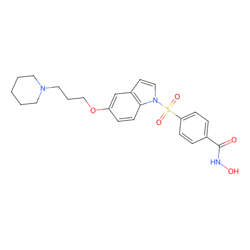 O=C(NO)c1ccc(S(=O)(=O)n2ccc3cc(OCCCN4CCCCC4)ccc32)cc1